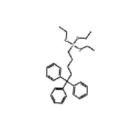 CCO[Si](CCCCC(c1ccccc1)(c1ccccc1)c1ccccc1)(OCC)OCC